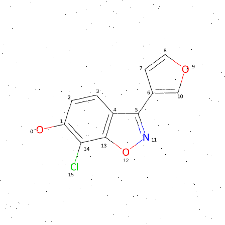 [O]c1ccc2c(-c3ccoc3)noc2c1Cl